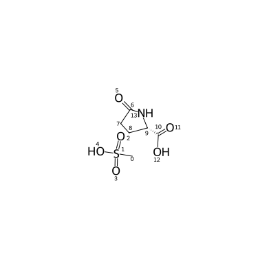 CS(=O)(=O)O.O=C1CC[C@@H](C(=O)O)N1